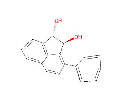 O[C@H]1c2cccc3ccc(-c4ccccc4)c(c23)[C@@H]1O